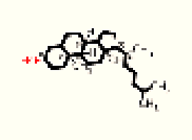 CC(C)CCC[C@@H](C)[C@H]1CCC2[C@@H]3CCC4C[C@H](O)CC[C@]4(C)[C@H]3CC[C@@]21C